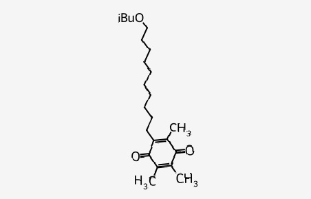 CC1=C(C)C(=O)C(CCCCCCCCCCOCC(C)C)=C(C)C1=O